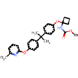 CC(C)(C)OC(=O)NC1(Oc2ccc(C(C)(C)c3ccc(Oc4cccc(C(=O)O)n4)cc3)cc2)CCC1